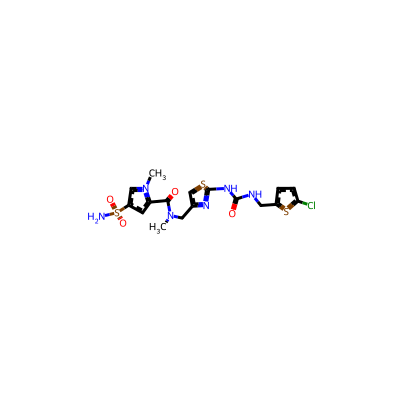 CN(Cc1csc(NC(=O)NCc2ccc(Cl)s2)n1)C(=O)c1cc(S(N)(=O)=O)cn1C